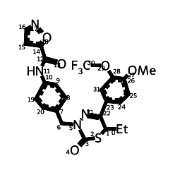 CCC1SC(=O)N(Cc2ccc(NC(=O)c3ccno3)cc2)N=C1c1ccc(OC)c(OC(F)(F)F)c1